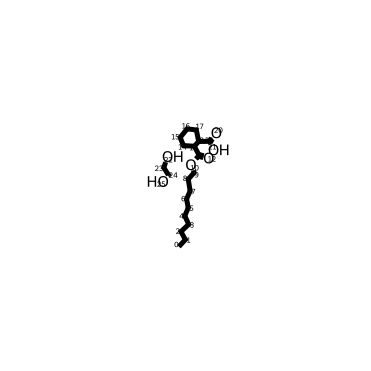 CCCCCCCCCCOC(=O)C1CCCCC1C(=O)O.OCCO